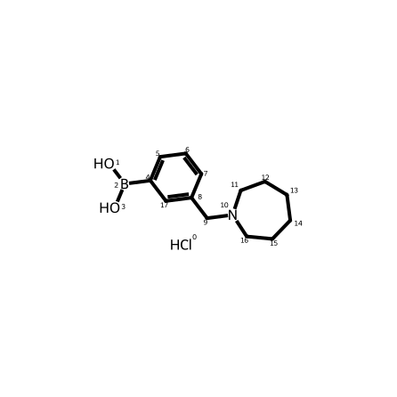 Cl.OB(O)c1cccc(CN2CCCCCC2)c1